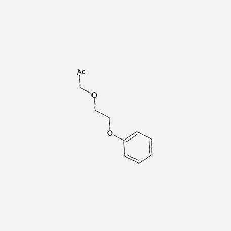 CC(=O)COCCOc1ccccc1